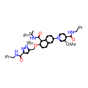 COc1c[n+](-c2ccc3c(C(=O)N[C@H](C)C(C)C)c(OCc4cc(C(=O)NCC(C)C)nn4C(C)(C)C)ccc3c2)ccc1C(=O)NCC(C)C